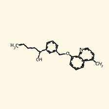 CCCCC(O)c1cccc(COc2cccc3c(C)ccnc23)c1